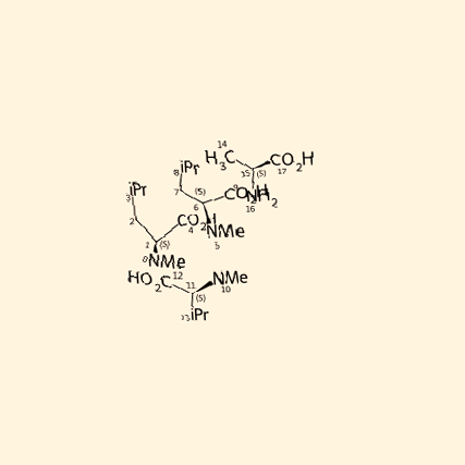 CN[C@@H](CC(C)C)C(=O)O.CN[C@@H](CC(C)C)C(=O)O.CN[C@H](C(=O)O)C(C)C.C[C@H](N)C(=O)O